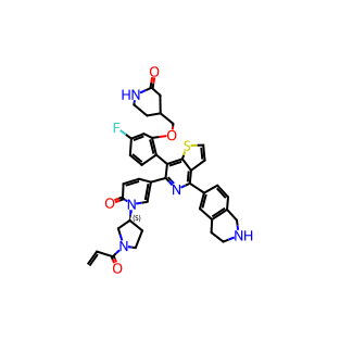 C=CC(=O)N1CC[C@H](n2cc(-c3nc(-c4ccc5c(c4)CCNC5)c4ccsc4c3-c3ccc(F)cc3OCC3CCNC(=O)C3)ccc2=O)C1